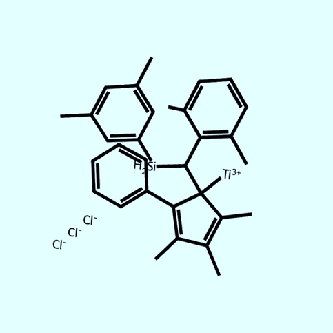 CC1=C(C)[C]([Ti+3])(C([SiH2]c2cc(C)cc(C)c2)c2c(C)cccc2C)C(c2ccccc2)=C1C.[Cl-].[Cl-].[Cl-]